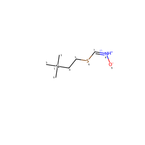 C[Si](C)(C)CCS/C=[NH+]\[O-]